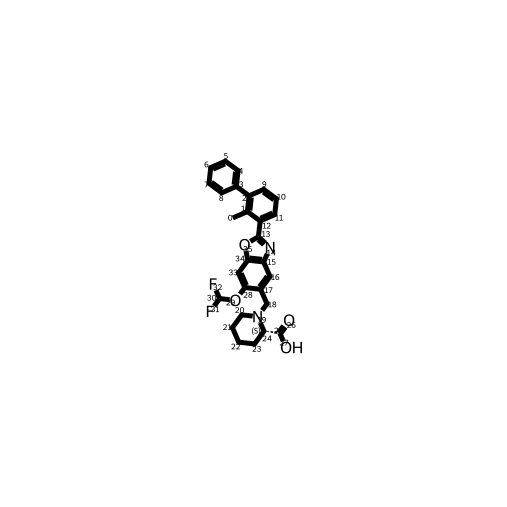 Cc1c(-c2ccccc2)cccc1-c1nc2cc(CN3CCCC[C@H]3C(=O)O)c(OC(F)F)cc2o1